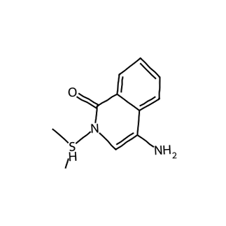 C[SH](C)n1cc(N)c2ccccc2c1=O